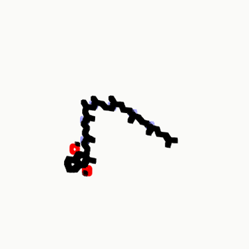 COc1c(C)c(C/C=C(\C)CC/C=C(\C)CC(C)/C=C(\C)CC/C=C(\C)CC/C=C(\C)CC/C=C(\C)CCC=C(C)C)c(OC)c2ccccc12